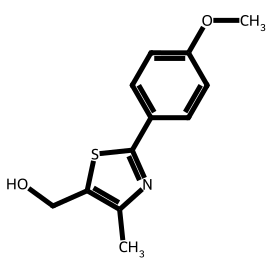 COc1ccc(-c2nc(C)c(CO)s2)cc1